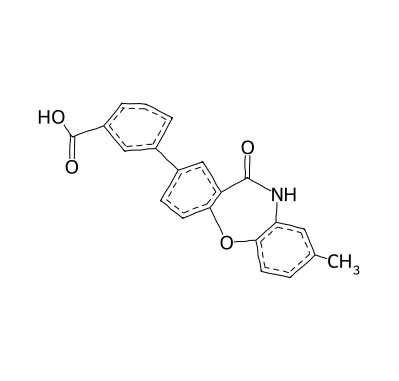 Cc1ccc2c(c1)NC(=O)c1cc(-c3cccc(C(=O)O)c3)ccc1O2